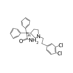 NC(=O)C(c1ccccc1)(c1ccccc1)[C@H]1CCN(CCc2ccc(Cl)c(Cl)c2)C1